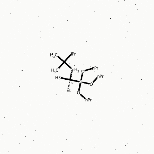 CCCO[Si](OCCC)(OCCC)[C@](S)(CC)[SiH2]C(C)(C)C(C)C